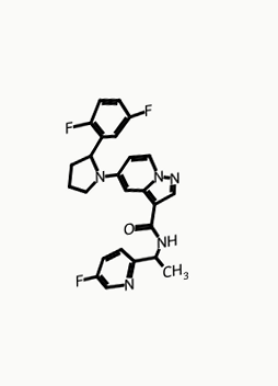 CC(NC(=O)c1cnn2ccc(N3CCCC3c3cc(F)ccc3F)cc12)c1ccc(F)cn1